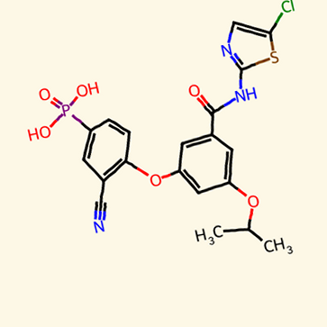 CC(C)Oc1cc(Oc2ccc(P(=O)(O)O)cc2C#N)cc(C(=O)Nc2ncc(Cl)s2)c1